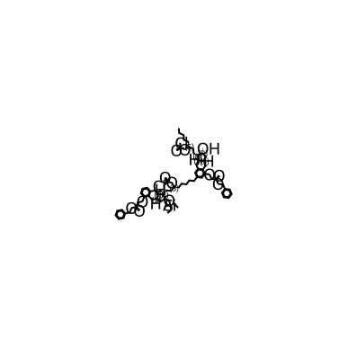 CCCCC[C@@H](CC[C@@H]1[C@H]2Cc3cc(CCCCC[C@@H](CC[C@H]4C(O[Si](CC)(CC)CC)C[C@@H]5Cc6c(cccc6OCC(=O)OCc6ccccc6)C[C@@H]54)OC(=O)Cl)cc(OCC(=O)OCc4ccccc4)c3C[C@H]2C[C@H]1O)OC(=O)Cl